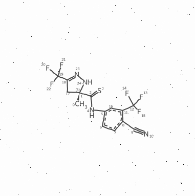 C[C@@]1(C(=S)Nc2ccc(C#N)c(C(F)(F)F)c2)CC(C(F)(F)F)=NN1